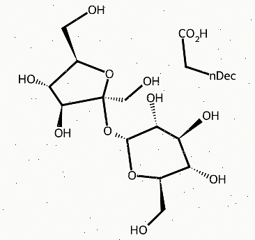 CCCCCCCCCCCC(=O)O.OC[C@H]1O[C@@](CO)(O[C@H]2O[C@H](CO)[C@@H](O)[C@H](O)[C@H]2O)[C@@H](O)[C@@H]1O